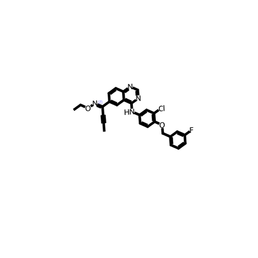 CC#C/C(=N\OCC)c1ccc2ncnc(Nc3ccc(OCc4cccc(F)c4)c(Cl)c3)c2c1